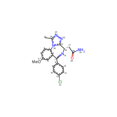 COc1ccc2c(c1)C(c1ccc(Cl)cc1)=N[C@@H](CC(N)=O)c1nnc(C)n1-2